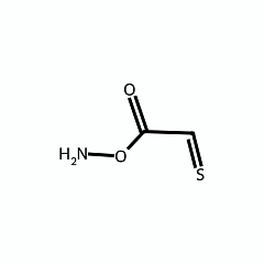 NOC(=O)C=S